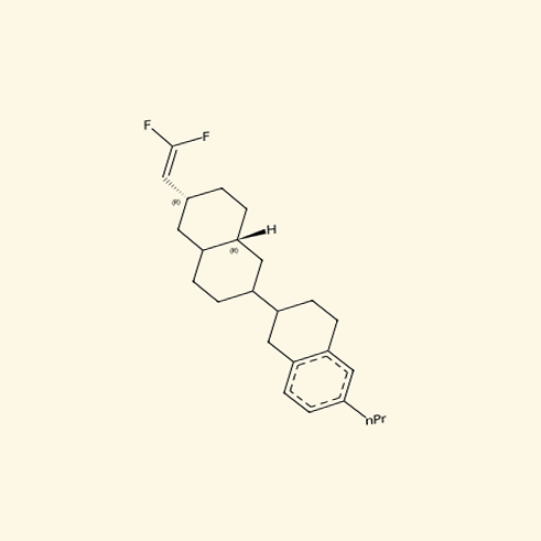 CCCc1ccc2c(c1)CCC(C1CCC3C[C@H](C=C(F)F)CC[C@@H]3C1)C2